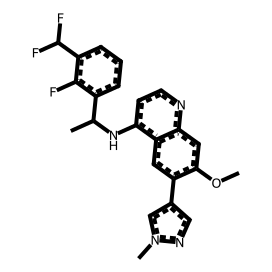 COc1cc2nccc(NC(C)c3cccc(C(F)F)c3F)c2cc1-c1cnn(C)c1